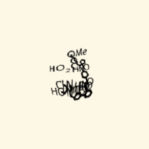 CCCCc1nc(Cl)c(CO)n1Cc1ccc(-c2ccccc2S(=O)(=O)NC(=O)C2CCC(NC(=O)C3(CC(COCCOC)C(=O)O)CCCC3)CC2)cc1